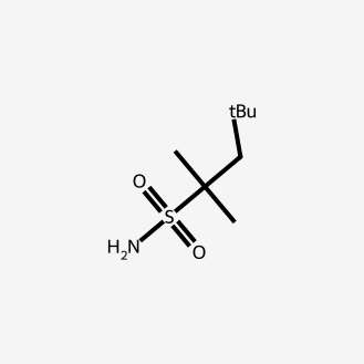 CC(C)(C)CC(C)(C)S(N)(=O)=O